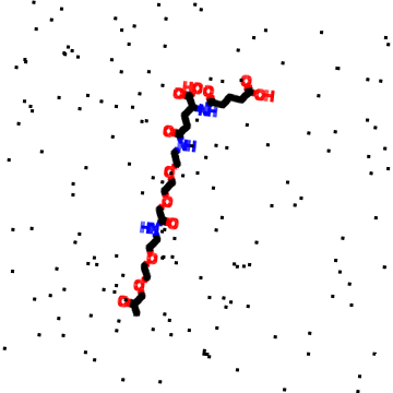 CC(=O)COCCOCCNC(=O)COCCOCCNC(=O)CCC(NC(=O)CCCC(=O)O)C(=O)O